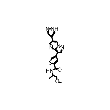 COCC(C)NC(=O)c1cc(-c2cnn3cc(-c4cn[nH]c4)cnc23)cs1